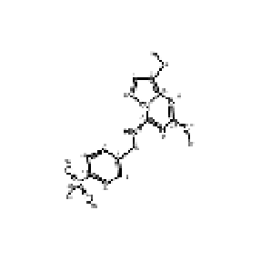 CCc1cnn2c(NCc3ccc(S(C)(=O)=O)cc3)nc(SC)nc12